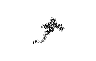 CCOP(=O)(C[C@H](NC(=O)c1cc(NCc2ccccc2)nc(-c2ccccc2)n1)C(=O)N1CCN(CCCCC(=O)O)CC1)OCC